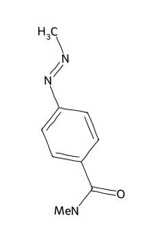 CN=Nc1ccc(C(=O)NC)cc1